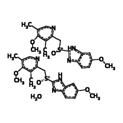 COc1ccc2nc([S@+]([O-])Cc3ncc(C)c(OC)c3C)[nH]c2c1.COc1ccc2nc([S@+]([O-])Cc3ncc(C)c(OC)c3C)[nH]c2c1.O